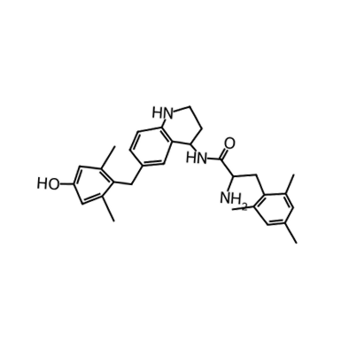 Cc1cc(C)c(CC(N)C(=O)NC2CCNc3ccc(Cc4c(C)cc(O)cc4C)cc32)c(C)c1